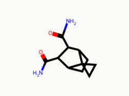 NC(=O)C1C(C(N)=O)C2CCC1C21CC1